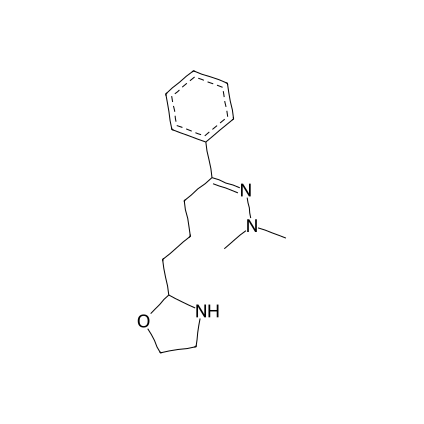 CN(C)N=C(CCCC1NCCO1)c1ccccc1